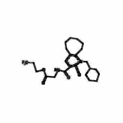 O=C(CNC(=O)c1cc2c(n(CC3CCCCC3)c1=O)CCCCCC2)OCCC(F)(F)F